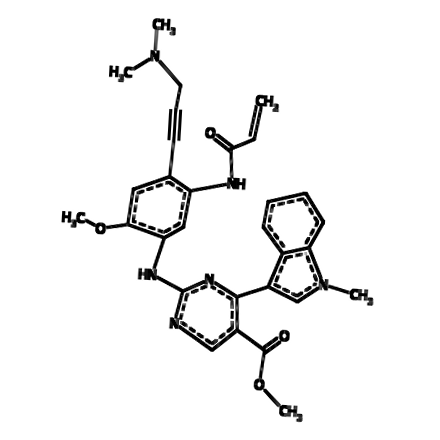 C=CC(=O)Nc1cc(Nc2ncc(C(=O)OC)c(-c3cn(C)c4ccccc34)n2)c(OC)cc1C#CCN(C)C